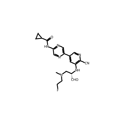 CN(CCF)C[C@@H](C=O)Nc1cc(-c2cnc(NC(=O)C3CC3)cn2)cnc1C#N